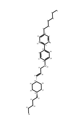 CCCCCCc1cnc(-c2ccc(OCC=C[C@H]3CC[C@H](CCCCC)CC3)cc2)nc1